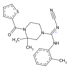 Cc1ccccc1N/C(=N/C#N)N1CCN(C(=O)c2cccs2)C(C)(C)C1